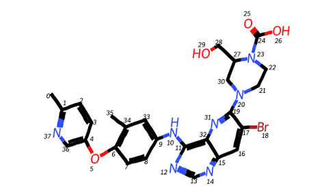 Cc1ccc(Oc2ccc(Nc3ncnc4cc(Br)c(N5CCN(C(=O)O)C(CO)C5)nc34)cc2C)cn1